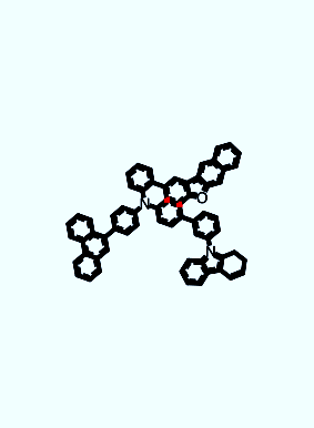 C1=Cc2c(n(-c3cccc(-c4ccc(N(c5ccc(-c6cc7ccccc7c7ccccc67)cc5)c5ccccc5-c5ccc6oc7cc8ccccc8cc7c6c5)cc4)c3)c3ccccc23)CC1